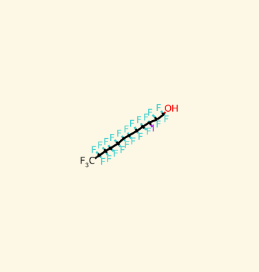 OC(F)(F)C(F)(F)C(F)(I)C(F)(F)C(F)(F)C(F)(F)C(F)(F)C(F)(F)C(F)(F)C(F)(F)C(F)(F)C(F)(F)F